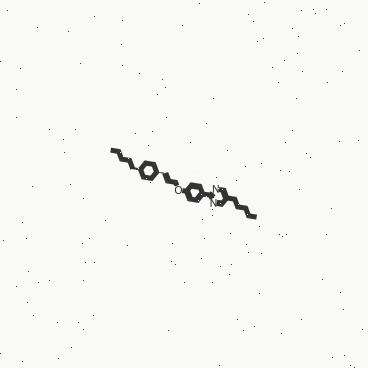 CCCCCc1cnc(-c2ccc(OCC=C[C@H]3CC[C@H](CCCCC)CC3)cc2)nc1